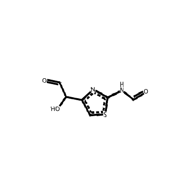 O=[C]C(O)c1csc(NC=O)n1